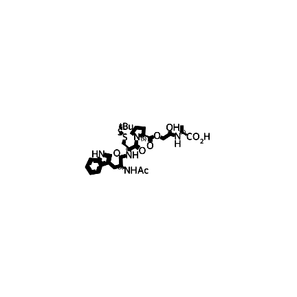 CC(=O)N[C@@H](Cc1c[nH]c2ccccc12)C(=O)N[C@@H](CSSC(C)(C)C)C(=O)N1CCC[C@H]1C(=O)OCC(O)N[C@@H](C)C(=O)O